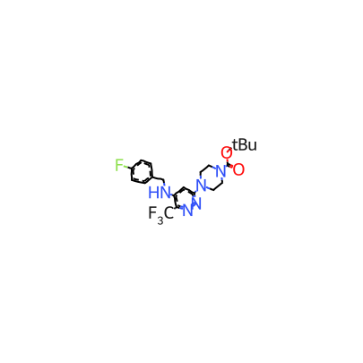 CC(C)(C)OC(=O)N1CCN(c2cc(NCc3ccc(F)cc3)c(C(F)(F)F)nn2)CC1